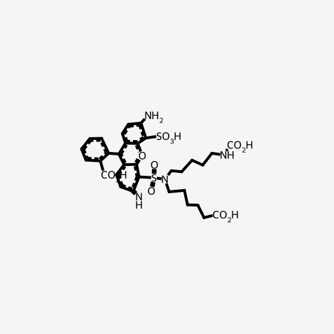 N=c1ccc2c(-c3ccccc3C(=O)O)c3ccc(N)c(S(=O)(=O)O)c3oc-2c1S(=O)(=O)N(CCCCCNC(=O)O)CCCCCC(=O)O